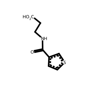 O=C(O)CCNC(=O)c1ccsc1